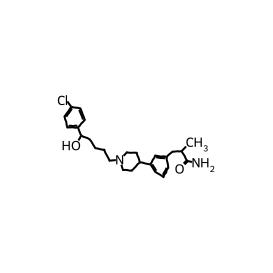 CC(Cc1cccc(C2CCN(CCCCC(O)c3ccc(Cl)cc3)CC2)c1)C(N)=O